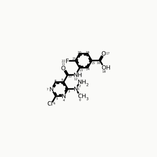 CN(N)c1nc(Cl)ncc1C(=O)Nc1cc(C(=O)O)ccc1F